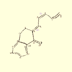 C=C/C=C\C=C1/CCc2ccccc2C1=O